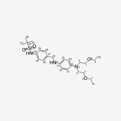 CCOCCN(CCOCC)c1ccc(NCc2ccc(NS(=O)(=O)C(C)(C)C)cc2)cc1